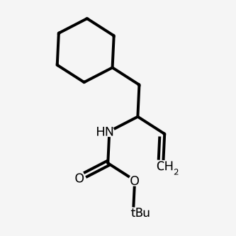 C=CC(CC1CCCCC1)NC(=O)OC(C)(C)C